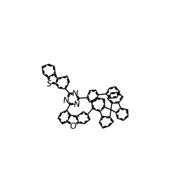 c1ccc(-c2ccc(-c3nc(-c4ccc5c(c4)sc4ccccc45)nc(-c4cccc5oc6ccc(-c7cccc8c7-c7ccccc7C87c8ccccc8-c8ccccc87)cc6c45)n3)cc2)cc1